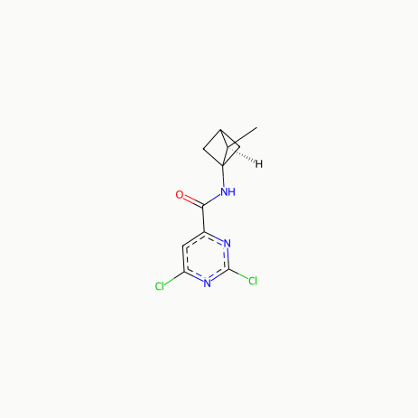 C[C@@H]1C2CC1(NC(=O)c1cc(Cl)nc(Cl)n1)C2